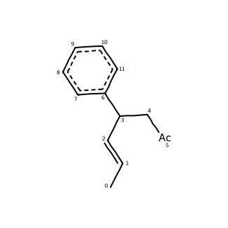 CC=CC(CC(C)=O)c1ccccc1